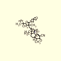 CCCC(C)(C)CC[C@@](C)(CCC(C)(C)[C@]1(C)CC[C@H]2[C@H](C)C(=O)C(C#N)=C[C@]2(C)/C1=C/C(C)=O)C(=O)N1CC2(COC2)C1